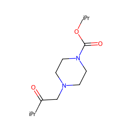 CC(C)OC(=O)N1CCN(CC(=O)C(C)C)CC1